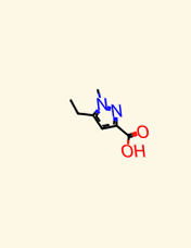 CCc1cc(C(=O)O)nn1C